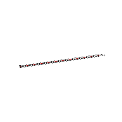 COCCOCCOCCOCCOCCOCCOCCOCCOCCOCCOCCOCCOCCOCCOCCOCCOCCOCCOCCOCCOCCOCCOCCOCCOCCOCCOCCOCCOCCOCCOCCOCCOCCOCCOCCOCCOCCOCCOCCOCCOCCOCCOCCOCCOCCN=C=O